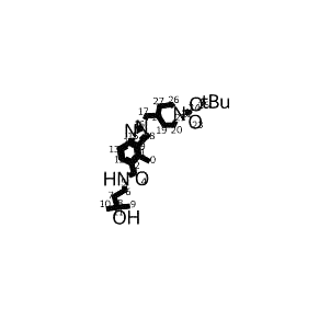 Cc1c(C(=O)NCCC(C)(C)O)ccc2nn(CC3CCN(C(=O)OC(C)(C)C)CC3)cc12